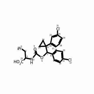 CC(C)CC(NC(=O)OC(c1ccc(Cl)cc1)C1(c2cccc(Cl)c2)CC1)C(=O)O